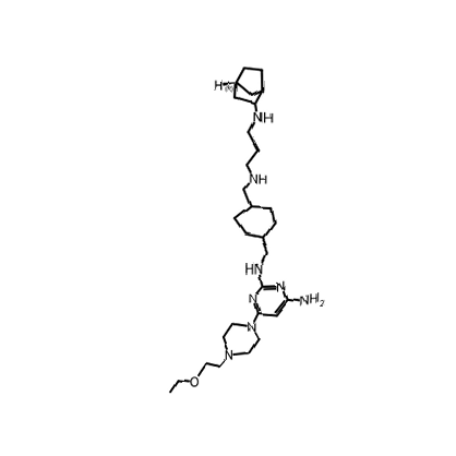 CCOCCN1CCN(c2cc(N)nc(NCC3CCC(CNCCCNC4C[C@@H]5CCC4C5)CC3)n2)CC1